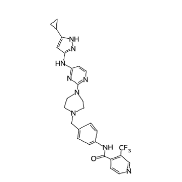 O=C(Nc1ccc(CN2CCN(c3nccc(Nc4cc(C5CC5)[nH]n4)n3)CC2)cc1)c1ccncc1C(F)(F)F